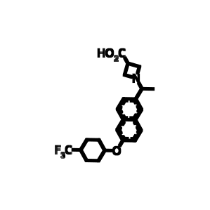 CC(c1ccc2cc(OC3CCC(C(F)(F)F)CC3)ccc2c1)N1CC(C(=O)O)C1